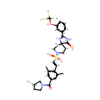 Cc1cc(C(=O)N2CC[C@@H](F)C2)cc(C)c1/C=C/S(=O)(=O)N1CCC2(CC1)N=C(c1cccc(OC(F)(F)F)c1)NC2=O